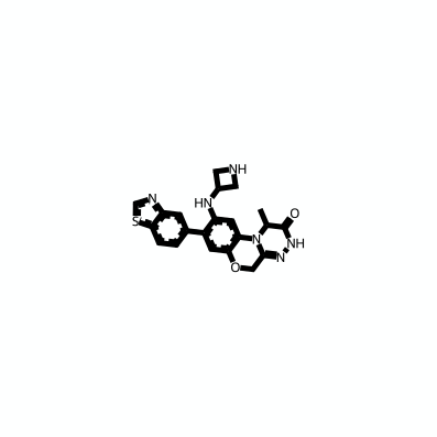 CC1C(=O)NN=C2COc3cc(-c4ccc5scnc5c4)c(NC4CNC4)cc3N21